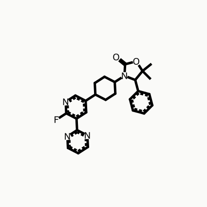 CC1(C)OC(=O)N(C2CCC(c3cnc(F)c(-c4ncccn4)c3)CC2)C1c1ccccc1